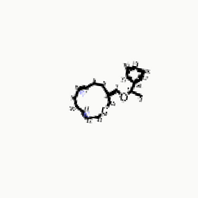 CC(OC=C1CC/C=C/CC/C=C/CCC1)c1ccccc1